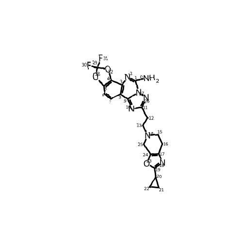 Nc1nc2c3c(ccc2c2nc(CCN4CCc5nc(C6CC6)oc5C4)nn12)OC(F)(F)O3